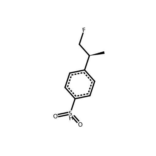 C[C@H](CF)c1ccc([SH](=O)=O)cc1